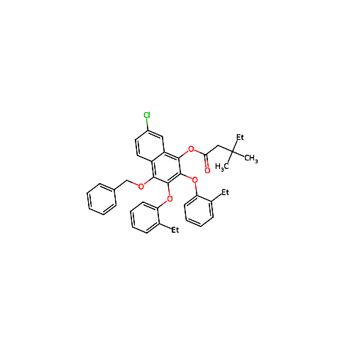 CCc1ccccc1Oc1c(Oc2ccccc2CC)c(OC(=O)CC(C)(C)CC)c2cc(Cl)ccc2c1OCc1ccccc1